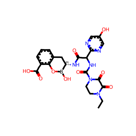 CCN1CCN(C(=O)NC(C(=O)N[C@H]2Cc3cccc(C(=O)O)c3OB2O)c2ncc(O)cn2)C(=O)C1=O